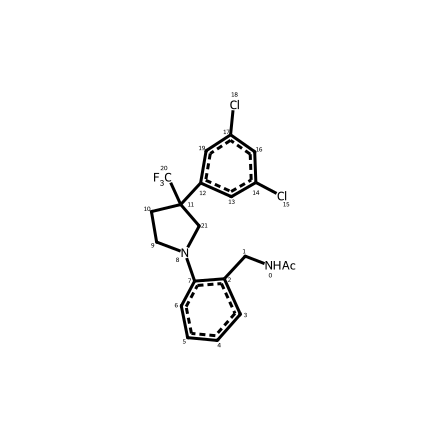 CC(=O)NCc1ccccc1N1CCC(c2cc(Cl)cc(Cl)c2)(C(F)(F)F)C1